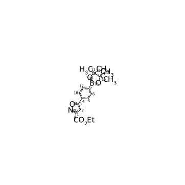 CCOC(=O)c1cc(-c2ccc(B3OC(C)(C)C(C)(C)O3)cc2)on1